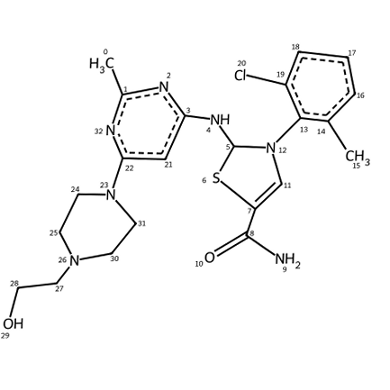 Cc1nc(NC2SC(C(N)=O)=CN2c2c(C)cccc2Cl)cc(N2CCN(CCO)CC2)n1